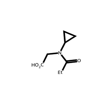 CCC(=O)N(CC(=O)O)C1CC1